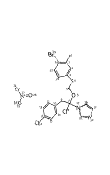 Cc1cc(SCOC(Cl)(Cc2ccc(Cl)cc2)n2ccnc2)ccc1Br.O=[N+]([O-])O